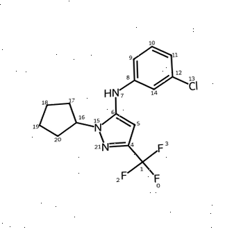 FC(F)(F)c1cc(Nc2cccc(Cl)c2)n(C2CCCC2)n1